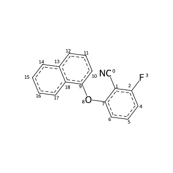 N#Cc1c(F)cccc1Oc1cccc2ccccc12